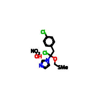 CSCOC(Cl)(Cc1ccc(Cl)cc1)n1ccnc1.O=[N+]([O-])O